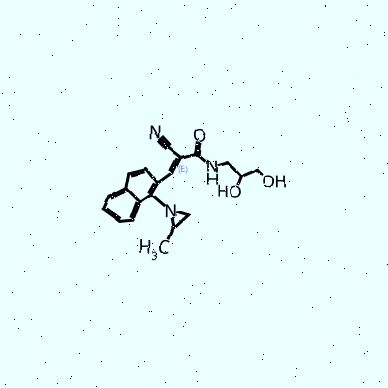 CC1CN1c1c(/C=C(\C#N)C(=O)NCC(O)CO)ccc2ccccc12